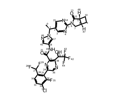 C[C@@H](c1cnc(N2C[C@H]3CC[C@H]3C2=O)nc1)n1cc(NC(=O)c2nc(-c3c(C(F)F)ccc(Cl)c3F)cnc2C(O)C(F)(F)F)cn1